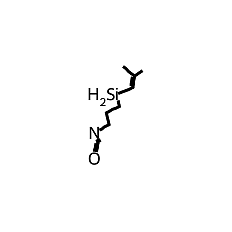 CC(C)=C[SiH2]CCCN=C=O